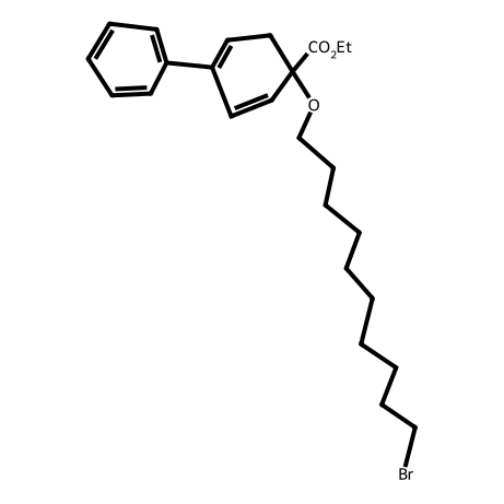 CCOC(=O)C1(OCCCCCCCCCCBr)C=CC(c2ccccc2)=CC1